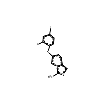 CC(C)(C)c1ncc2ccc(Sc3ccc(F)cc3F)cn12